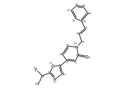 O=c1cc(-c2nnc(C(F)F)o2)ccn1C/C=C/c1ccccc1